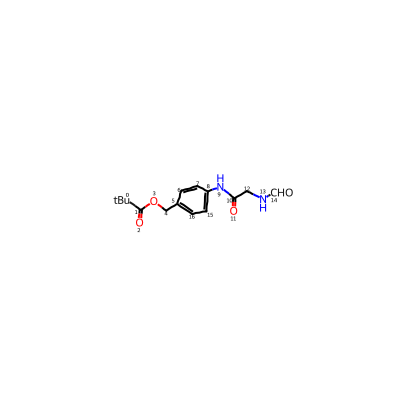 CC(C)(C)C(=O)OCc1ccc(NC(=O)CNC=O)cc1